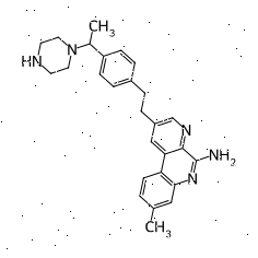 Cc1ccc2c(c1)nc(N)c1ncc(CCc3ccc(C(C)N4CCNCC4)cc3)cc12